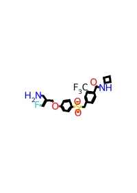 NCC(=CF)COc1ccc(S(=O)(=O)Cc2ccc(C(=O)NC3CCC3)c(C(F)(F)F)c2)cc1